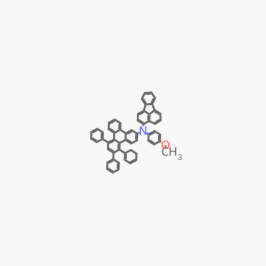 COc1ccc(N(c2ccc3c(c2)c2ccccc2c2c(-c4ccccc4)cc(-c4ccccc4)c(C4=CC=CCC4)c32)c2ccc3c4c(cccc24)-c2ccccc2-3)cc1